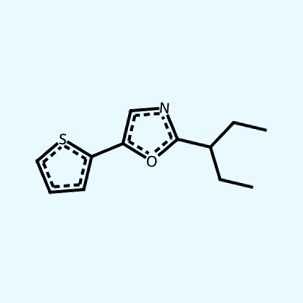 CCC(CC)c1ncc(-c2cccs2)o1